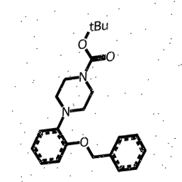 CC(C)(C)OC(=O)N1CCN(c2ccccc2OCc2ccccc2)CC1